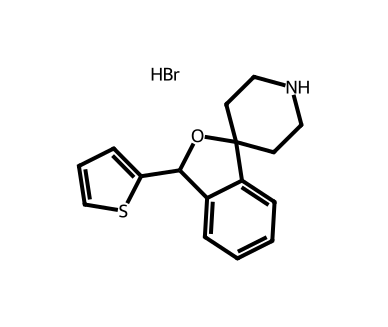 Br.c1csc(C2OC3(CCNCC3)c3ccccc32)c1